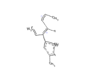 C=C/C(=C(F)\C=C/C)c1cc(C)n[nH]1